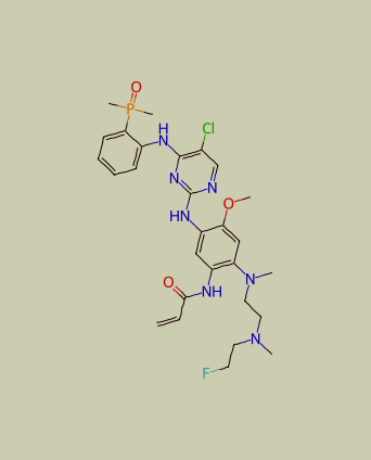 C=CC(=O)Nc1cc(Nc2ncc(Cl)c(Nc3ccccc3P(C)(C)=O)n2)c(OC)cc1N(C)CCN(C)CCF